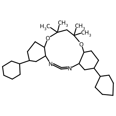 CC1(C)CC(C)(C)OC2CCC(C3CCCCC3)CC2N=C=NC2CC(C3CCCCC3)CCC2O1